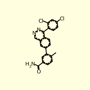 Cc1ccc(C(N)=O)cc1-c1ccc2c(-c3ccc(Cl)cc3Cl)nncc2c1